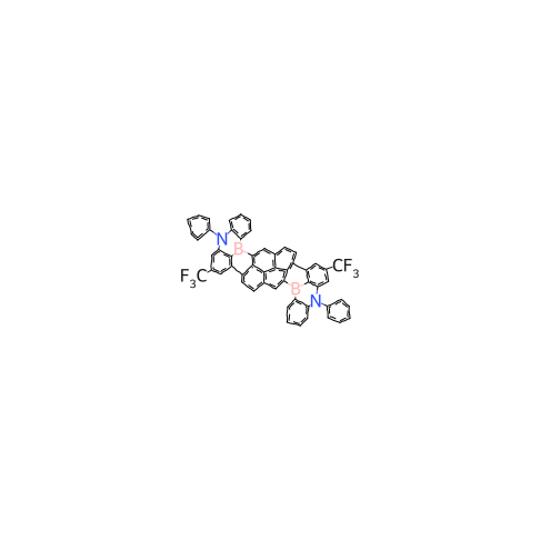 FC(F)(F)c1cc2c3c(c1)N(c1ccccc1)c1ccccc1B3c1cc3ccc4c5c(cc6ccc-2c1c6c35)B1c2ccccc2N(c2ccccc2)c2cc(C(F)(F)F)cc-4c21